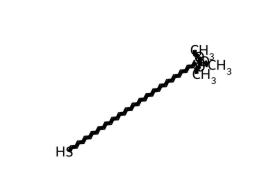 CCO[Si](CCCCCCCCCCCCCCCCCCCCCCCCCCCCCCCCCCCCCS)(OCC)OCC